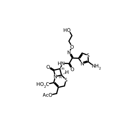 CC(=O)OCC1=C(C(=O)O)N2C(=O)[C@@H](NC(=O)C(=NOCCO)c3csc(N)n3)[C@H]2SC1